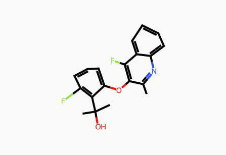 Cc1nc2ccccc2c(F)c1Oc1cccc(F)c1C(C)(C)O